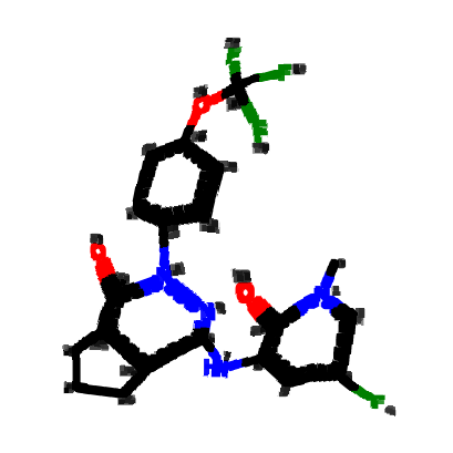 Cn1cc(F)cc(Nc2nn(-c3ccc(OC(F)(F)F)cc3)c(=O)c3c2CCC3)c1=O